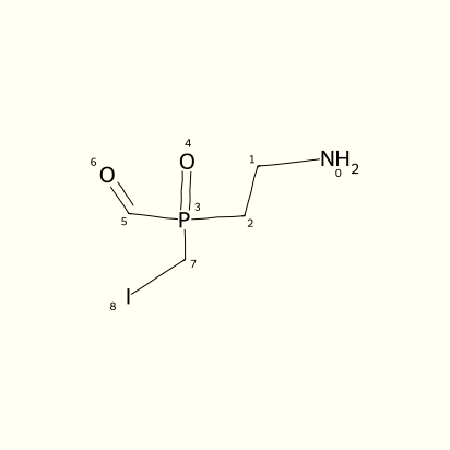 NCCP(=O)(C=O)CI